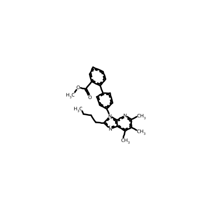 CCCCc1nc2c(C)c(C)c(C)nc2n1-c1ccc(-c2ccccc2C(=O)OC)cc1